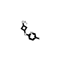 CC1CC(Oc2ccc(I)cn2)C1